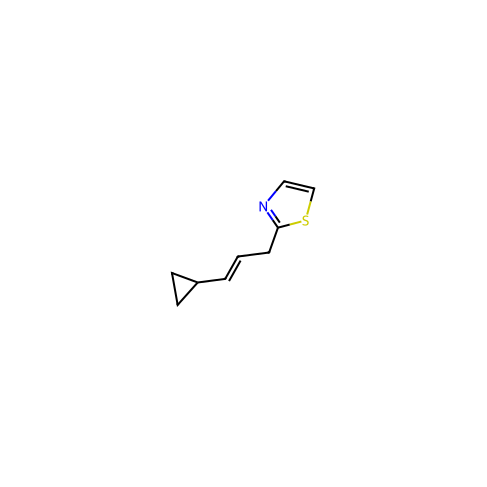 C(=CC1CC1)Cc1nccs1